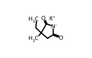 CCC1(C)CC(=O)[N-]C1=O.[K+]